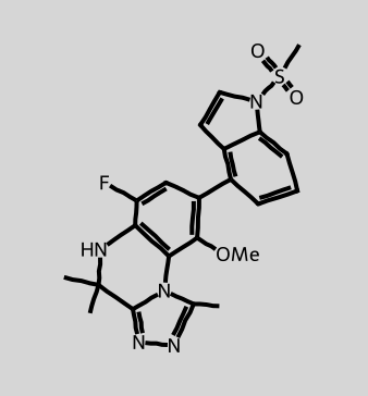 COc1c(-c2cccc3c2ccn3S(C)(=O)=O)cc(F)c2c1-n1c(C)nnc1C(C)(C)N2